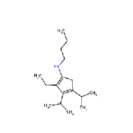 CCCCNC1=C(CC)C(C(C)C)=C(C(C)C)C1